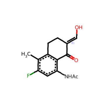 CC(=O)Nc1cc(F)c(C)c2c1C(=O)/C(=C/O)CC2